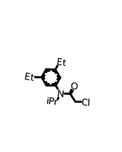 CCc1cc(CC)cc(N(C(=O)CCl)C(C)C)c1